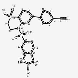 N#Cc1ccc(-c2ccc3c(c2)N(S(=O)(=O)c2ccc4[nH]c(=O)[nH]c4c2)CCS3(=O)=O)cc1